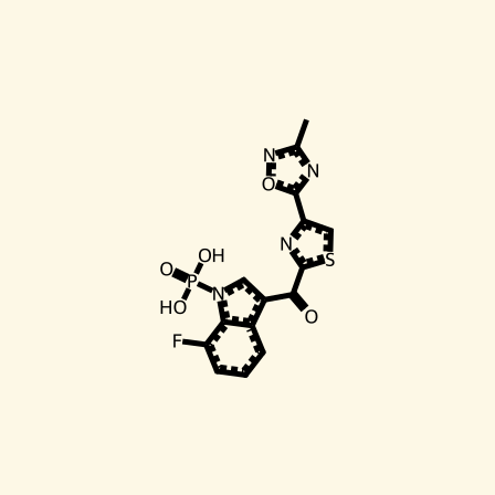 Cc1noc(-c2csc(C(=O)c3cn(P(=O)(O)O)c4c(F)cccc34)n2)n1